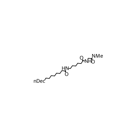 CCCCCCCCCCCCCCCCCC(=O)NCCCCCC(=O)NCC(=O)NC